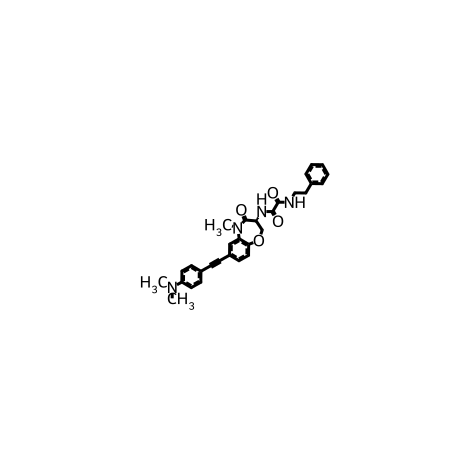 CN(C)c1ccc(C#Cc2ccc3c(c2)N(C)C(=O)[C@@H](NC(=O)C(=O)NCCc2ccccc2)CO3)cc1